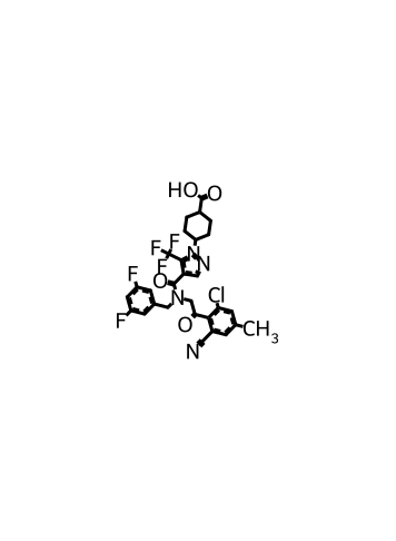 Cc1cc(Cl)c(C(=O)CN(Cc2cc(F)cc(F)c2)C(=O)c2cnn(C3CCC(C(=O)O)CC3)c2C(F)(F)F)c(C#N)c1